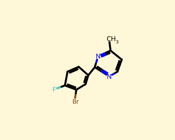 Cc1ccnc(-c2ccc(F)c(Br)c2)n1